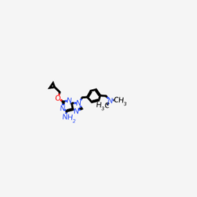 CN(C)Cc1ccc(Cn2cnc3c(N)nc(OCC4CC4)nc32)cc1